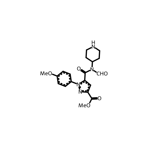 COC(=O)c1cc(C(=O)N(C=O)C2CCNCC2)n(-c2ccc(OC)cc2)n1